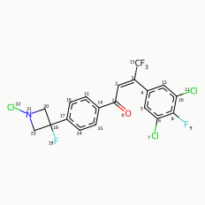 O=C(/C=C(\c1cc(Cl)c(F)c(Cl)c1)C(F)(F)F)c1ccc(C2(F)CN(Cl)C2)cc1